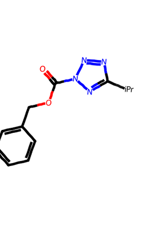 CC(C)c1nnn(C(=O)OCc2ccccc2)n1